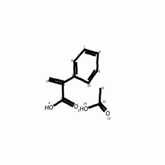 C=C(C(=O)O)c1ccccc1.CC(=O)O